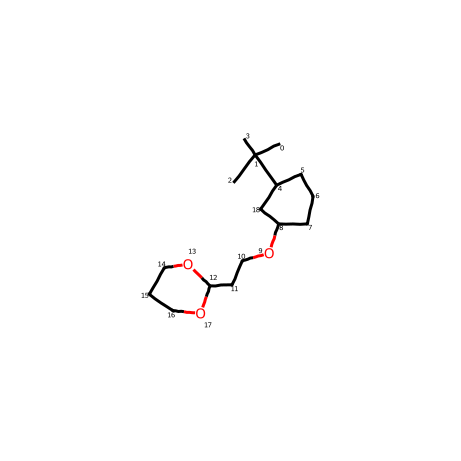 CC(C)(C)C1CCCC(OCCC2OCCCO2)C1